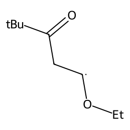 CCO[CH]CC(=O)C(C)(C)C